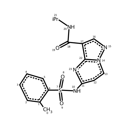 Cc1ccccc1S(=O)(=O)Nc1ccn2ncc(C(=O)NC(C)C)c2n1